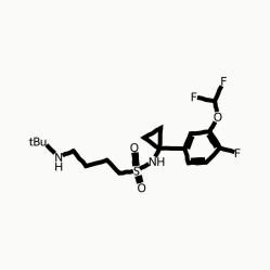 CC(C)(C)NCCCCS(=O)(=O)NC1(c2ccc(F)c(OC(F)F)c2)CC1